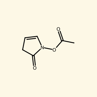 CC(=O)ON1C=CCC1=O